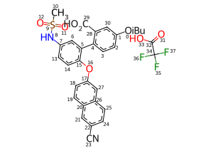 CC(C)COc1ccc(-c2cc(NS(C)(=O)=O)ccc2Oc2ccc3cc(C#N)ccc3c2)c(C(=O)O)c1.O=C(O)C(F)(F)F